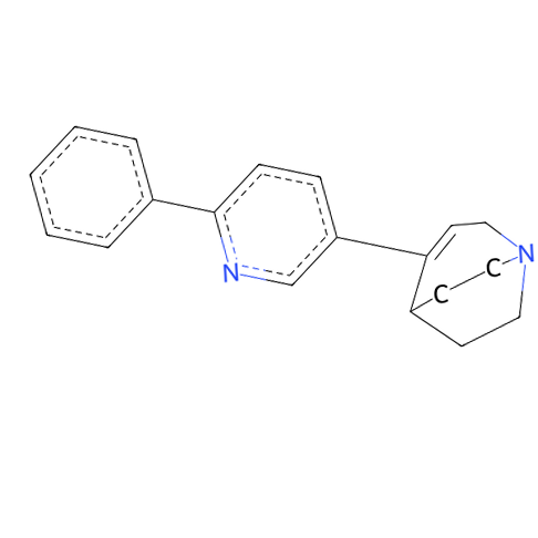 C1=C(c2ccc(-c3ccccc3)nc2)C2CCN(C1)CC2